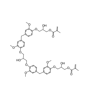 C=C(C)C(=O)OCC(O)COc1ccc(Cc2ccc(OCC(O)COc3ccc(Cc4ccc(OCC(O)COC(=O)C(=C)C)c(OC)c4)cc3OC)c(OC)c2)cc1OC